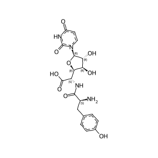 N[C@@H](Cc1ccc(O)cc1)C(=O)N[C@H](C(=O)O)[C@H]1O[C@@H](n2ccc(=O)[nH]c2=O)[C@H](O)[C@H]1O